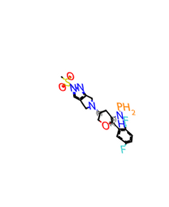 CS(=O)(=O)n1cc2c(n1)CN([C@H]1CO[C@H](c3cc(F)ccc3F)[C@@H](NP)C1)C2